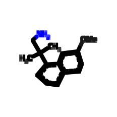 COc1ccc2cccc(C(C)(C)CN)c2c1